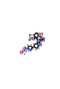 CN(CP(C)(C)=O)c1ccc(-c2ccc3nc4n(c3c2)[C@@H]2C[C@H]4N(C)C(=O)c3cccc(OC(F)F)c32)cn1